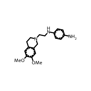 COc1cc2c(cc1OC)CN(CCNc1ccc(N)cc1)CC2